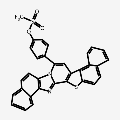 O=S(=O)(Oc1ccc(-c2cc3c(sc4ccc5ccccc5c43)c3nc4c5ccccc5ccc4n23)cc1)C(F)(F)F